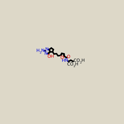 Nc1nc(O)c2c(n1)CCC2CCCc1ccc(C(=O)N[C@@H](CCC(=O)O)C(=O)O)o1